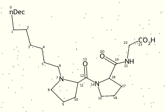 CCCCCCCCCCCCCCCCN1CCCC1C(=O)N1CCCC1C(=O)NCC(=O)O